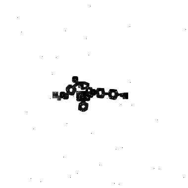 COc1ccc(C(=O)N2CCC(COc3ccc(-c4ccc(C#N)cc4)cc3)(C(=O)NS(=O)(=O)c3ccccc3)C2)cc1